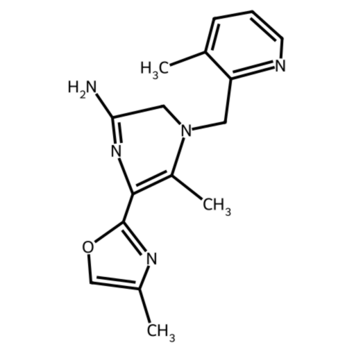 CC1=C(c2nc(C)co2)N=C(N)CN1Cc1ncccc1C